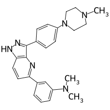 CN1CCN(c2ccc(-c3n[nH]c4ccc(-c5cccc(N(C)C)c5)nc34)cc2)CC1